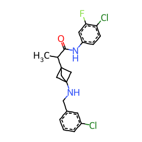 CC(C(=O)Nc1ccc(Cl)c(F)c1)C12CC(NCc3cccc(Cl)c3)(C1)C2